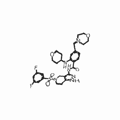 O=C(Nc1n[nH]c2c1CN(S(=O)(=O)c1cc(F)cc(F)c1)CC2)c1ccc(CN2CCOCC2)cc1NC1CCOCC1